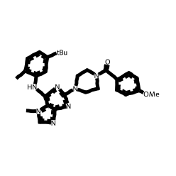 COc1ccc(C(=O)N2CCN(c3nc(Nc4cc(C(C)(C)C)ccc4C)c4c(ncn4C)n3)CC2)cc1